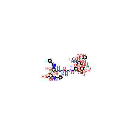 CCC1CC(C(=O)NCCNC(=O)NCCNC(=O)C2CC(n3cc(-c4cccc(F)c4)nn3)C(O)[C@H](O[C@@H]3OC(CO)[C@H](O)C(n4cc(-c5cccc(F)c5)nn4)C3O)C2)C[C@@H](O[C@@H]2OC(CO)[C@H](O)C(O[C@@H](CC3CCCCC3)C(=O)O)C2NC(C)=O)C1O[C@@H]1OC(C)[C@@H](O)C(O)C1O